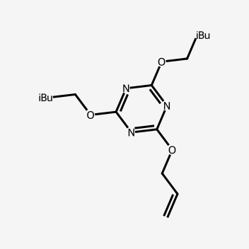 C=CCOc1nc(OCC(C)CC)nc(OCC(C)CC)n1